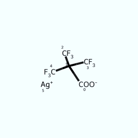 O=C([O-])C(C(F)(F)F)(C(F)(F)F)C(F)(F)F.[Ag+]